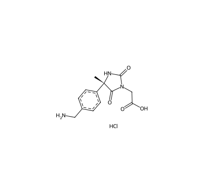 C[C@@]1(c2ccc(CN)cc2)NC(=O)N(CC(=O)O)C1=O.Cl